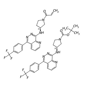 C=CC(=O)N1CC[C@H](Nc2nnc(-c3ccc(C(F)(F)F)cc3)c3cccnc23)C1.CC(C)(C)OC(=O)N1CC[C@H](Nc2nnc(-c3ccc(C(F)(F)F)cc3)c3cccnc23)C1